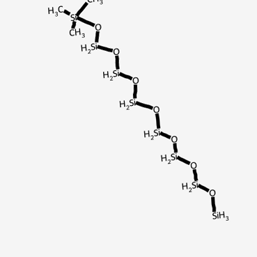 C[Si](C)(C)O[SiH2]O[SiH2]O[SiH2]O[SiH2]O[SiH2]O[SiH2]O[SiH3]